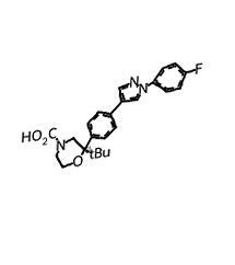 CC(C)(C)[C@]1(c2ccc(-c3cnn(-c4ccc(F)cc4)c3)cc2)CN(C(=O)O)CCO1